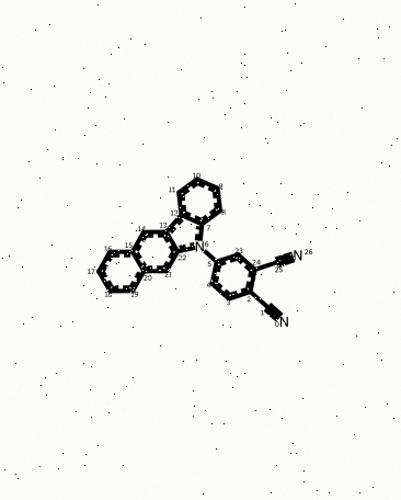 N#Cc1ccc(-n2c3ccccc3c3cc4ccccc4cc32)cc1C#N